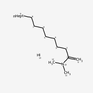 C=C(CCCCCCCCCCCCCC)N(C)C.I